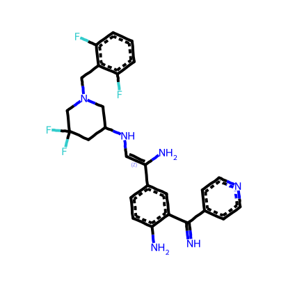 N=C(c1ccncc1)c1cc(/C(N)=C/NC2CN(Cc3c(F)cccc3F)CC(F)(F)C2)ccc1N